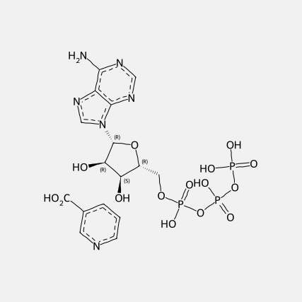 Nc1ncnc2c1ncn2[C@@H]1O[C@H](COP(=O)(O)OP(=O)(O)OP(=O)(O)O)[C@@H](O)[C@H]1O.O=C(O)c1cccnc1